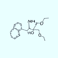 CCOCC(O)(COCC)C(N)Cc1cccc2ccccc12